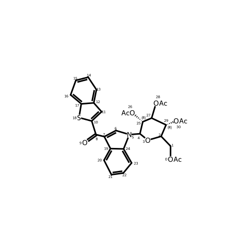 CC(=O)OCC1OC(n2cc(C(=O)c3cc4ccccc4s3)c3ccccc32)[C@H](OC(C)=O)C(OC(C)=O)[C@@H]1OC(C)=O